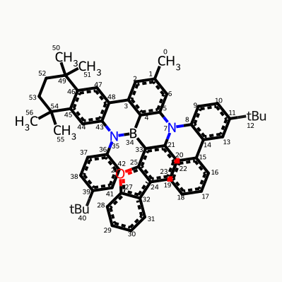 Cc1cc2c3c(c1)N(c1ccc(C(C)(C)C)cc1-c1ccccc1)c1ccc4c(oc5ccccc54)c1B3N(c1ccc(C(C)(C)C)cc1)c1cc3c(cc1-2)C(C)(C)CCC3(C)C